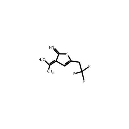 CC(C)=C1C=C(CC(F)(F)F)SC1=N